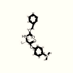 C[C@H](NC(=O)OCc1ccccc1)C(=O)Oc1ccc([S+](C)C)cc1